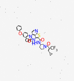 Cc1cc(Oc2ccccc2)ccc1N1C(=O)Nc2c(C(=O)N[C@@H]3CCCN(C(=O)C(=CC4CC4)C(F)(F)F)C3)sc3nccc1c23